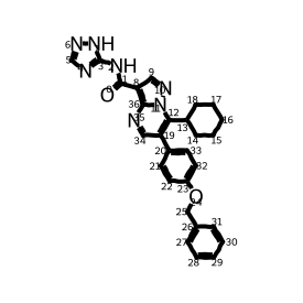 O=C(Nc1ncn[nH]1)c1cnn2c(C3CCCCC3)c(-c3ccc(OCc4ccccc4)cc3)cnc12